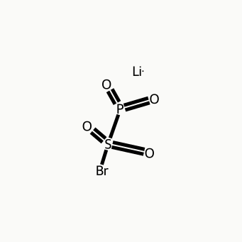 O=P(=O)S(=O)(=O)Br.[Li]